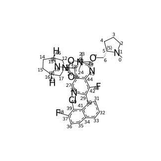 CN1CCC[C@H]1COc1nc(N2C[C@H]3CC[C@@H](C2)N3C(=O)OC(C)(C)C)c2cnc(-c3cccc4ccc(F)c(Cl)c34)c(F)c2n1